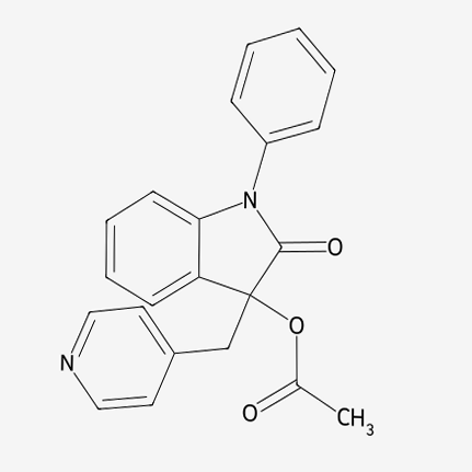 CC(=O)OC1(Cc2ccncc2)C(=O)N(c2ccccc2)c2ccccc21